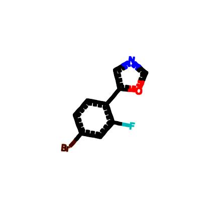 Fc1cc(Br)ccc1-c1cnco1